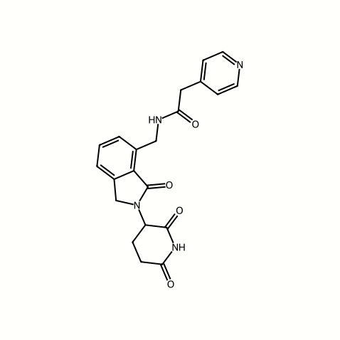 O=C(Cc1ccncc1)NCc1cccc2c1C(=O)N(C1CCC(=O)NC1=O)C2